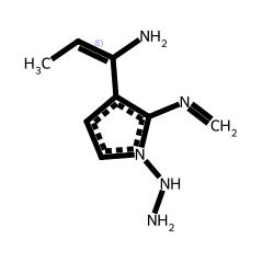 C=Nc1c(/C(N)=C\C)ccn1NN